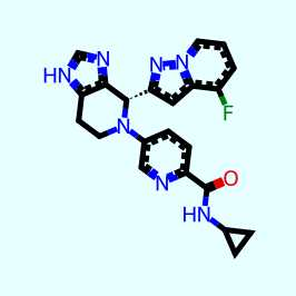 O=C(NC1CC1)c1ccc(N2CCc3[nH]cnc3[C@@H]2c2cc3c(F)cccn3n2)cn1